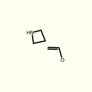 C1CNC1.C=C[O]